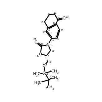 CC(C)(C)[Si](C)(C)OC[C@H]1CN(c2ccc3c(c2)CCCC3=O)C(=O)O1